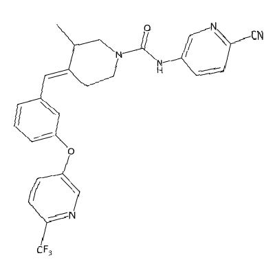 CC1CN(C(=O)Nc2ccc(C#N)nc2)CCC1=Cc1cccc(Oc2ccc(C(F)(F)F)nc2)c1